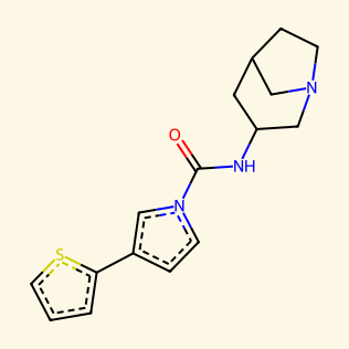 O=C(NC1CC2CCN(C2)C1)n1ccc(-c2cccs2)c1